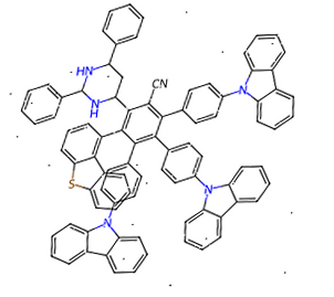 N#Cc1c(-c2ccc(-n3c4ccccc4c4ccccc43)cc2)c(-c2ccc(-n3c4ccccc4c4ccccc43)cc2)c(-c2ccc(-n3c4ccccc4c4ccccc43)cc2)c(-c2cccc3sc4ccccc4c23)c1C1CC(c2ccccc2)NC(c2ccccc2)N1